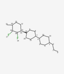 CCCC1CCC(C2CCC([C@@H]3CCC(C)C(F)C3F)CC2)CC1